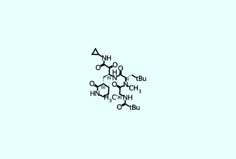 C[C@@H](NC(=O)C(C)(C)C)C(=O)N(C)[C@@H](CC(C)(C)C)C(=O)N[C@@H](C[C@@H]1CCCNC1=O)C(=O)C(=O)NC1CC1